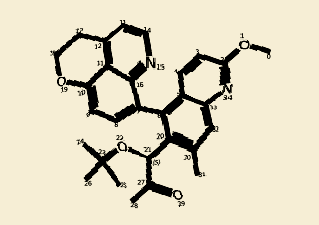 COc1ccc2c(-c3ccc4c5c(ccnc35)CCO4)c([C@H](OC(C)(C)C)C(C)=O)c(C)cc2n1